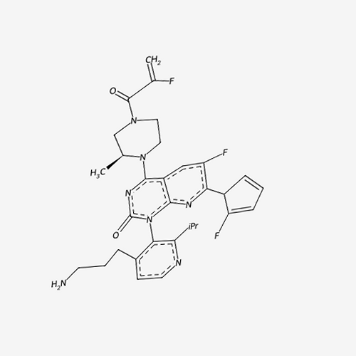 C=C(F)C(=O)N1CCN(c2nc(=O)n(-c3c(CCCN)ccnc3C(C)C)c3nc(C4C=CC=C4F)c(F)cc23)[C@@H](C)C1